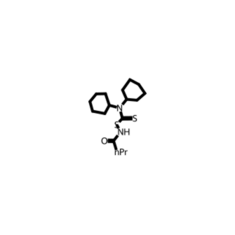 CCCC(=O)NSC(=S)N(C1CCCCC1)C1CCCCC1